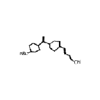 C=C(C1CCC(C=CC=CC#N)CC1)C1CCC(CCCC)CC1